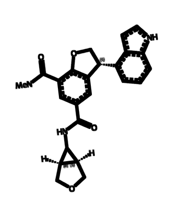 CNC(=O)c1cc(C(=O)NC2[C@H]3COC[C@@H]23)cc2c1OC[C@@H]2c1cccc2[nH]ccc12